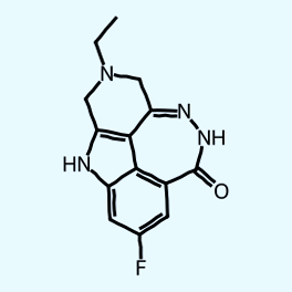 CCN1CC2=NNC(=O)c3cc(F)cc4[nH]c(c2c34)C1